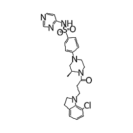 C[C@H]1CN(c2ccc(S(=O)(=O)Nc3ccncn3)cc2)CCN1C(=O)CCN1CCc2cccc(Cl)c21